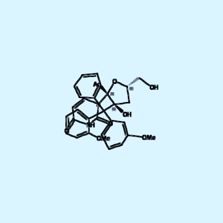 COc1cccc(C(c2ccccc2)(c2ccccc2OC)[C@@]2(O)C[C@@H](CO)O[C@@]2(C(C)=O)n2ccc(=O)[nH]c2=O)c1